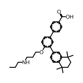 CCCNCCCOc1ccc(-c2ccc(C(=O)O)cc2)cc1-c1ccc2c(c1)C(C)(C)CCC2(C)C